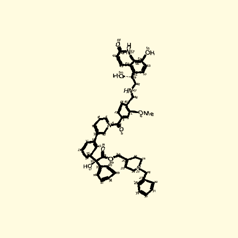 COc1cc(C(=O)N2CCC=C(c3cccc([C@](O)(C(=O)OCC4CCN(Cc5ccccc5)CC4)c4ccccc4)c3)C2)ccc1CNC[C@H](O)c1ccc(O)c2[nH]c(=O)ccc12